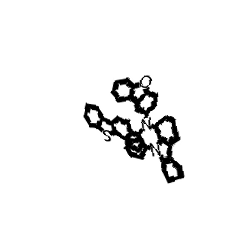 c1ccc(-n2c3ccccc3c3cccc(N(c4ccc5oc6ccccc6c5c4)c4cccc5c4ccc4c6ccccc6sc54)c32)cc1